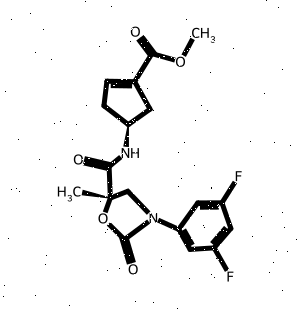 COC(=O)C1=CC[C@H](NC(=O)[C@]2(C)CN(c3cc(F)cc(F)c3)C(=O)O2)C1